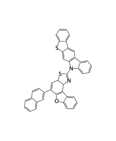 C1=C(c2ccc3ccccc3c2)c2oc3ccccc3c2C2N=C(n3c4ccccc4c4cc5c(cc43)sc3ccccc35)SC12